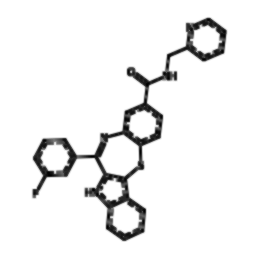 O=C(NCc1ccccn1)c1ccc2c(c1)N=C(c1cccc(F)c1)c1[nH]c3ccccc3c1S2